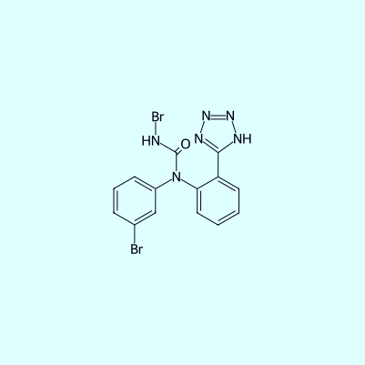 O=C(NBr)N(c1cccc(Br)c1)c1ccccc1-c1nnn[nH]1